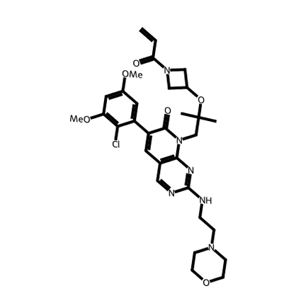 C=CC(=O)N1CC(OC(C)(C)Cn2c(=O)c(-c3cc(OC)cc(OC)c3Cl)cc3cnc(NCCN4CCOCC4)nc32)C1